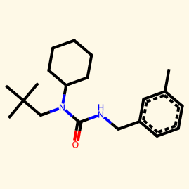 Cc1cccc(CNC(=O)N(CC(C)(C)C)C2CCCCC2)c1